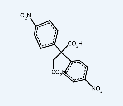 O=C(O)CC(C(=O)O)(c1ccc([N+](=O)[O-])cc1)c1ccc([N+](=O)[O-])cc1